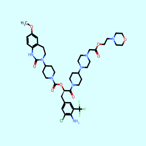 COc1ccc2c(c1)CCN(C1CCN(C(=O)O[C@H](Cc3cc(Cl)c(N)c(C(F)(F)F)c3)C(=O)N3CCC(N4CCN(CC(=O)OCCN5CCOCC5)CC4)CC3)CC1)C(=O)N2